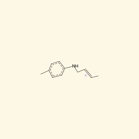 C/C=C/CNc1ccc(C)cc1